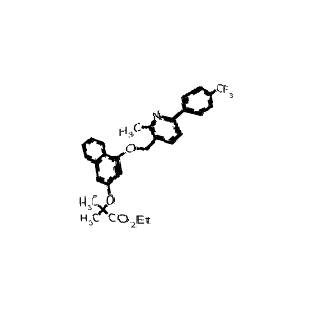 CCOC(=O)C(C)(C)Oc1cc(OCc2ccc(-c3ccc(C(F)(F)F)cc3)nc2C)c2ccccc2c1